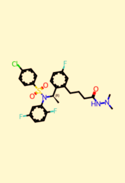 C[C@H](c1ccc(F)cc1CCCC(=O)NN(C)C)N(c1cc(F)ccc1F)S(=O)(=O)c1ccc(Cl)cc1